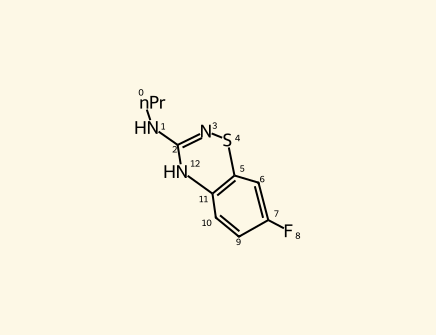 CCCNC1=NSc2cc(F)ccc2N1